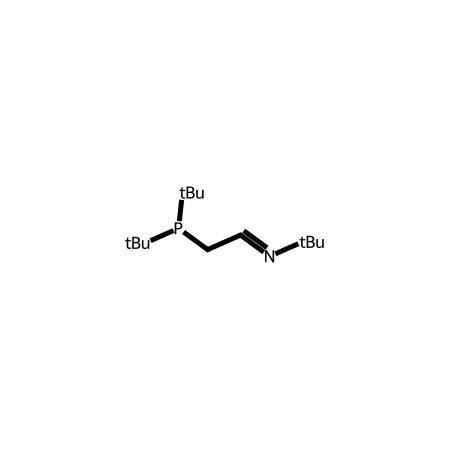 CC(C)(C)N=CCP(C(C)(C)C)C(C)(C)C